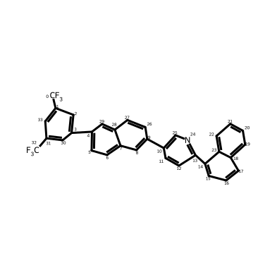 FC(F)(F)c1cc(-c2ccc3cc(-c4ccc(-c5cccc6ccccc56)nc4)ccc3c2)cc(C(F)(F)F)c1